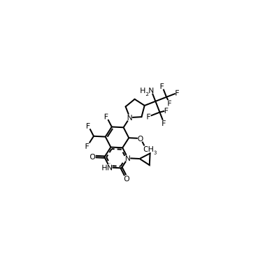 COC1c2c(c(=O)[nH]c(=O)n2C2CC2)C(C(F)F)=C(F)C1N1CCC(C(N)(C(F)(F)F)C(F)(F)F)C1